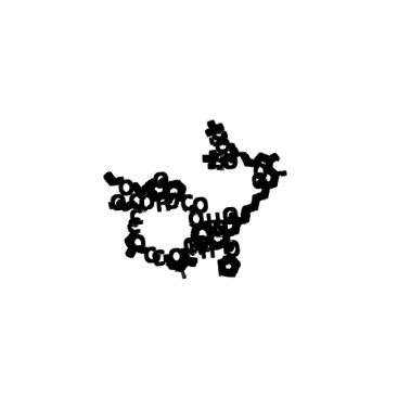 C=CCOCC1O[C@@]2(CCOC)CCC3CC(=C)C(CCC4C[C@@H](C)C(=C)C(C[C@@H]5O[C@H]6CC(OC7CCCC7)C(CC(=O)/C=C/CCCC(=O)C[C@H](C)C7OC(CC[C@H](CO[Si](C)(C)C(C)(C)C)O[Si](C)(C)C(C)(C)C)CC7C)O[C@H]6CC5OC(=O)CC5CCC6OC1CC(O2)[C@H]6O5)O4)O3